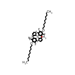 CCCCCCCCCCOc1c(F)c(F)[c]([Ti]([C]2=C(C)C=CC2)([C]2=C(C)C=CC2)[c]2c(F)c(F)c(OCCCCCCCCCC)c(F)c2F)c(F)c1F